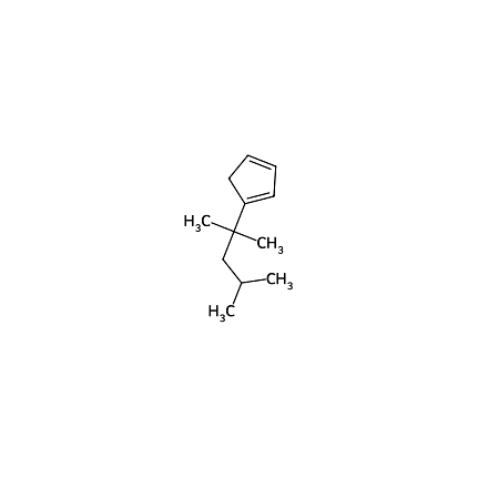 CC(C)CC(C)(C)C1=CC=CC1